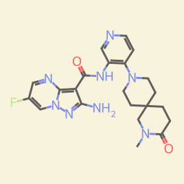 CN1CC2(CCC1=O)CCN(c1ccncc1NC(=O)c1c(N)nn3cc(F)cnc13)CC2